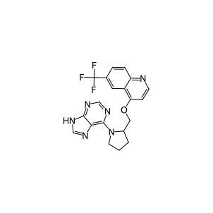 FC(F)(F)c1ccc2nccc(OCC3CCCN3c3ncnc4[nH]cnc34)c2c1